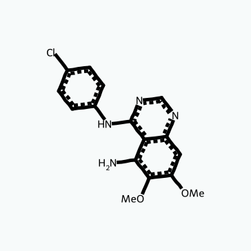 COc1cc2ncnc(Nc3ccc(Cl)cc3)c2c(N)c1OC